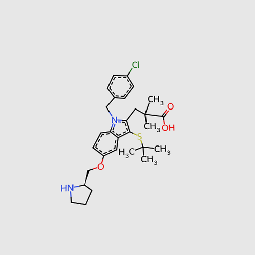 CC(C)(C)Sc1c(CC(C)(C)C(=O)O)n(Cc2ccc(Cl)cc2)c2ccc(OC[C@H]3CCCN3)cc12